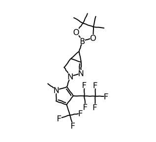 Cn1cc(C(F)(F)F)c(C(F)(F)C(F)(F)F)c1N1CC2C(=N1)C2B1OC(C)(C)C(C)(C)O1